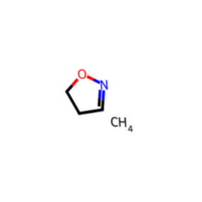 C.C1=NOCC1